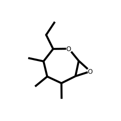 CCC1OC2OC2C(C)C(C)C1C